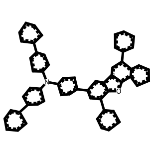 c1ccc(-c2ccc(N(c3ccc(-c4ccccc4)cc3)c3ccc(-c4cc(-c5ccccc5)c5oc6c7ccccc7c(-c7ccccc7)cc6c5c4)cc3)cc2)cc1